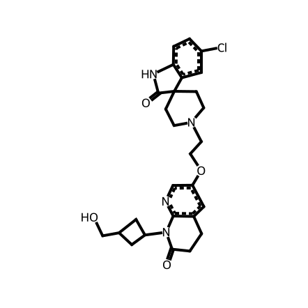 O=C1CCc2cc(OCCN3CCC4(CC3)C(=O)Nc3ccc(Cl)cc34)cnc2N1C1CC(CO)C1